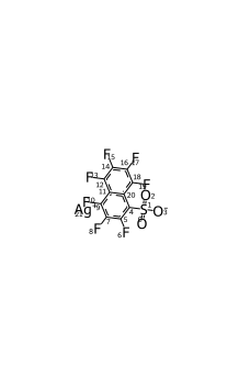 O=S(=O)([O-])c1c(F)c(F)c(F)c2c(F)c(F)c(F)c(F)c12.[Ag+]